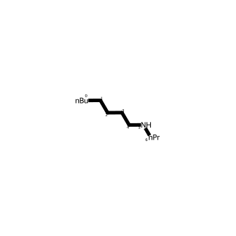 [CH2]CCCCCCCNCCC